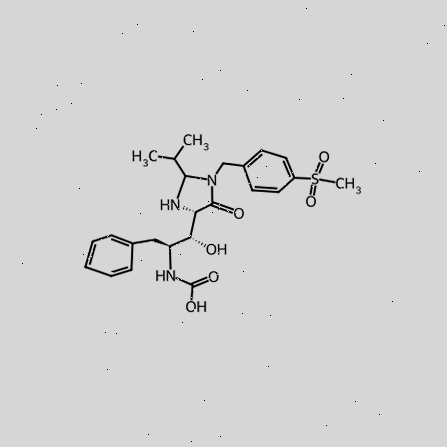 CC(C)C1N[C@@H]([C@H](O)[C@H](Cc2ccccc2)NC(=O)O)C(=O)N1Cc1ccc(S(C)(=O)=O)cc1